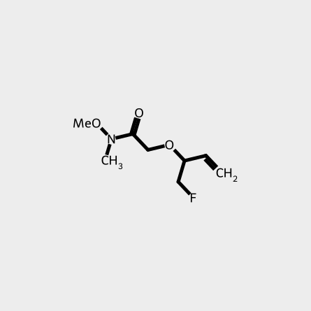 C=CC(CF)OCC(=O)N(C)OC